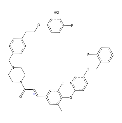 Cc1cc(/C=C/C(=O)N2CCN(Cc3ccc(CCOc4ccc(F)cc4)cc3)CC2)cc(Cl)c1Oc1ccc(OCc2ccccc2F)cn1.Cl